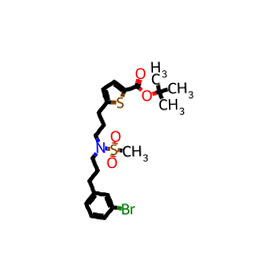 CC(C)(C)OC(=O)c1ccc(CCCN(CCCc2cccc(Br)c2)S(C)(=O)=O)s1